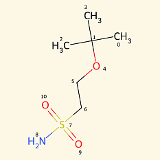 CC(C)(C)OCCS(N)(=O)=O